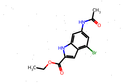 CCOC(=O)c1cc2c(Br)cc(NC(C)=O)cc2[nH]1